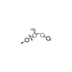 C#Cc1ccc(S(=O)(=O)N2CCN(CC3CCN(c4ccncc4)CC3)C(=O)C2)cc1.Cl